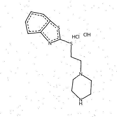 Cl.Cl.c1ccc2sc(SCCN3CCNCC3)nc2c1